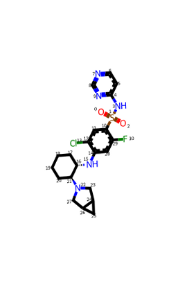 O=S(=O)(Nc1ccncn1)c1cc(Cl)c(N[C@H]2CCCC[C@@H]2N2CC3CC3C2)cc1F